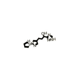 OC(C[CH]c1cnn([SH]2C=CC=C2)c1)c1nc[nH]n1